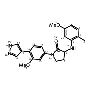 COc1ccc(C)c(NC2CCN(c3ccc(-c4cn[nH]c4)c(OC)c3)C2=O)c1